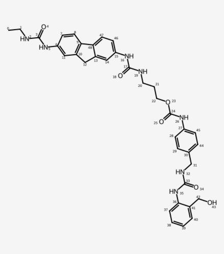 CCNC(=O)Nc1ccc2c(c1)Cc1cc(NC(=O)NCCCOC(=O)Nc3ccc(CNC(=O)Nc4ccccc4CO)cc3)ccc1-2